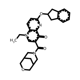 CCn1cc(C(=O)N2CC3COCC(C3)C2)c(=O)c2nc(OC3Cc4ccccc4C3)ccc21